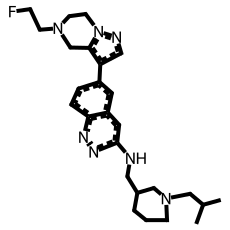 CC(C)CN1CCCC(CNc2cc3cc(-c4cnn5c4CN(CCF)CC5)ccc3nn2)C1